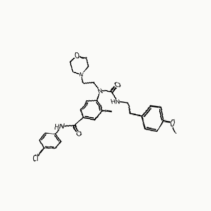 COc1ccc(CCNC(=O)N(CCN2CCOCC2)c2ccc(C(=O)Nc3ccc(Cl)cc3)cc2C)cc1